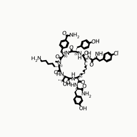 C[C@@H](O)[C@@H]1NC(=O)[C@H](CCCCCN)N(C)C(=O)[C@@H](Cc2ccc(C(N)=O)cc2)NC(=O)[C@H](Cc2ccc(O)cc2)NC(=O)[C@H](NC(=O)[C@@H](N)Cc2ccc(Cl)cc2)CSSC[C@@H](C(=O)N[C@H](Cc2ccc(O)cc2)C(N)=O)NC1=O